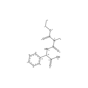 CCOC(=O)N(C)C(=O)NC(C(=O)O)c1ccccc1